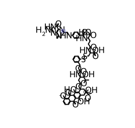 C=Nc1nc(N)[nH]c(=O)c1/N=C(\C)CNc1ccc(C(=O)NC(CCC(=O)NC(CSSc2ccccc2COC(=O)NC2CC(OC3C[C@](O)(C(C)=O)Cc4c(O)c5c(c(O)c43)C(=O)c3c(OC)cccc3C5=O)OC(C)C2O)C(=O)O)C(=O)O)cc1